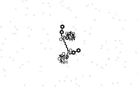 CN[C@@H](C)C(=O)N[C@H](C(=O)N1CCC[C@H]1CN(Cc1ccc(-c2ccccc2)cc1)C(=O)CCCCCCCCC(=O)N(Cc1ccc(-c2ccccc2)cc1)C[C@@H]1CCCN1C(=O)[C@@H](NC(=O)[C@H](C)NC)C(C)(C)C)C(C)(C)C